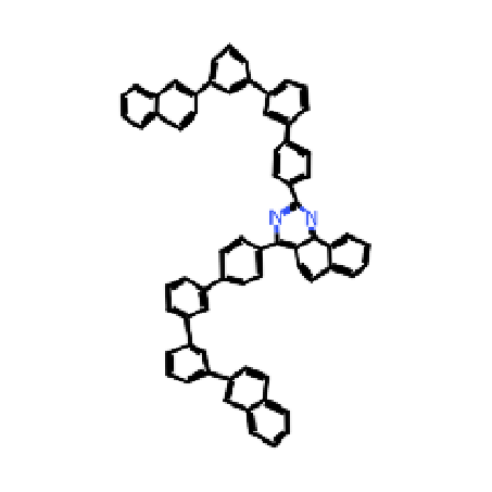 c1cc(-c2ccc(-c3nc(-c4ccc(-c5cccc(-c6cccc(-c7ccc8ccccc8c7)c6)c5)cc4)c4ccc5ccccc5c4n3)cc2)cc(-c2cccc(-c3ccc4ccccc4c3)c2)c1